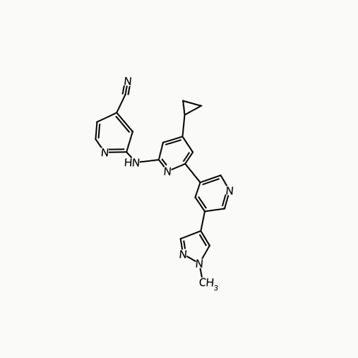 Cn1cc(-c2cncc(-c3cc(C4CC4)cc(Nc4cc(C#N)ccn4)n3)c2)cn1